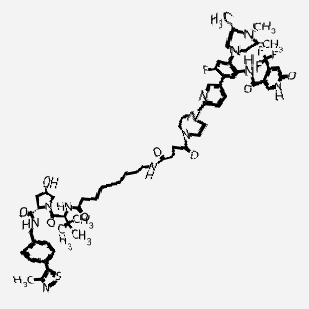 Cc1ncsc1-c1ccc(CNC(=O)[C@@H]2C[C@@H](O)CN2C(=O)C(NC(=O)CCCCCCCNC(=O)CCC(=O)N2CCN(c3ccc(-c4cc(NC(=O)c5c[nH]c(=O)cc5C(F)(F)F)c(N5C[C@@H](C)N(C)[C@@H](C)C5)cc4F)cn3)CC2)C(C)(C)C)cc1